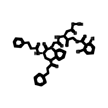 CC(C)(C)OC(=O)C[C@H](NC(=O)CN1C(=O)[C@@H](NC(=O)CCc2ccccc2)CN(C(=O)CCc2ccccc2)c2ccccc21)C(=O)COC(=O)c1c(Cl)cccc1Cl